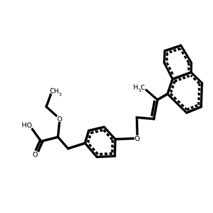 CCOC(Cc1ccc(OC/C=C(\C)c2cccc3ccccc23)cc1)C(=O)O